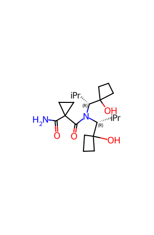 CC(C)[C@@H](N(C(=O)C1(C(N)=O)CC1)[C@H](C(C)C)C1(O)CCC1)C1(O)CCC1